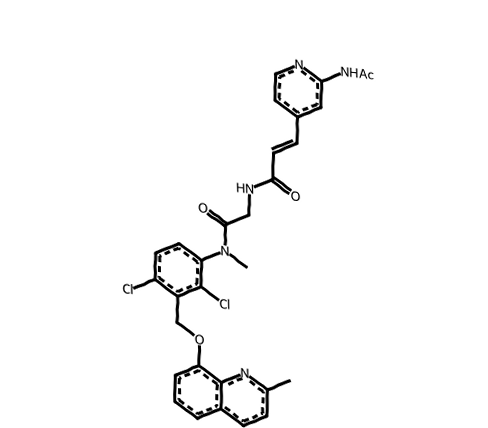 CC(=O)Nc1cc(C=CC(=O)NCC(=O)N(C)c2ccc(Cl)c(COc3cccc4ccc(C)nc34)c2Cl)ccn1